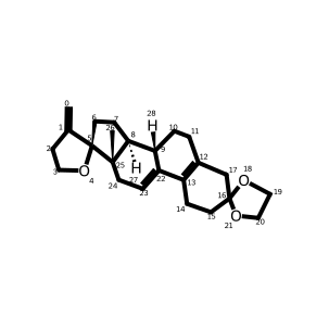 C=C1CCO[C@]12CC[C@H]1[C@@H]3CCC4=C(CCC5(C4)OCCO5)C3=CC[C@@]12C